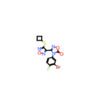 O=c1onc(-c2nonc2SC2CCC2)n1-c1ccc(F)c(Br)c1